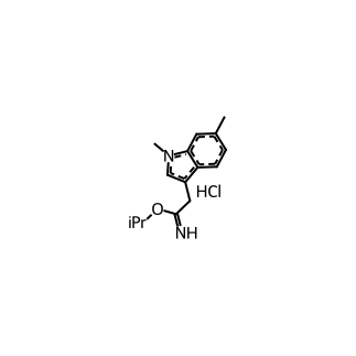 Cc1ccc2c(CC(=N)OC(C)C)cn(C)c2c1.Cl